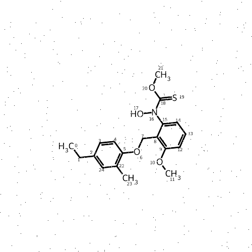 CCc1ccc(OCc2c(OC)cccc2N(O)C(=S)OC)c(C)c1